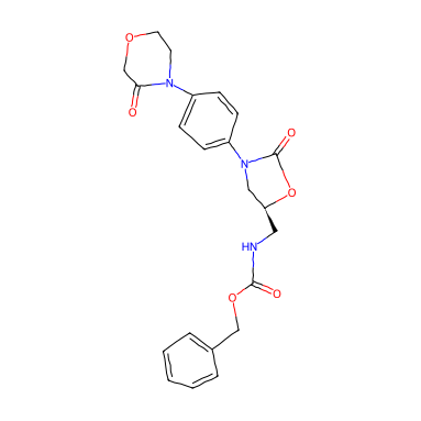 O=C(NC[C@H]1CN(c2ccc(N3CCOCC3=O)cc2)C(=O)O1)OCc1ccccc1